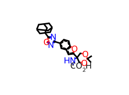 CC1(C)OCC(NC(=O)O)(c2cc3cc(-c4noc(C56CC7CC(CC(C7)C5)C6)n4)ccc3o2)CO1